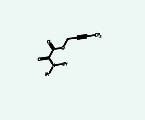 CC(C)N(C(=O)C(=O)OCC#CC(F)(F)F)C(C)C